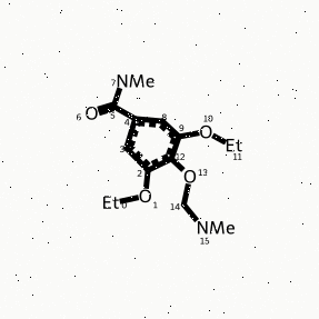 CCOc1cc(C(=O)NC)cc(OCC)c1OCNC